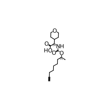 C#CCCCCC[C@H](C)OC(=O)N[C@H](C(=O)O)C1CCOCC1